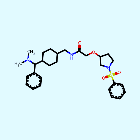 CN(C)C(c1ccccc1)C1CCC(CNC(=O)COC2CCN(S(=O)(=O)c3ccccc3)C2)CC1